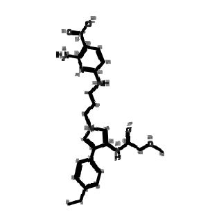 CCc1ccc(-c2cn(CCCNc3ccc([N+](=O)[O-])c(N)n3)cc2NC(=O)COC)cc1